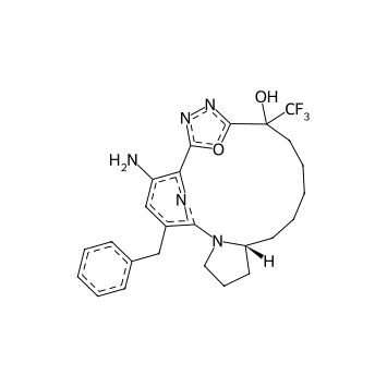 Nc1cc(Cc2ccccc2)c2nc1-c1nnc(o1)C(O)(C(F)(F)F)CCCCC[C@@H]1CCCN21